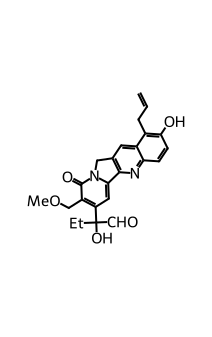 C=CCc1c(O)ccc2nc3c(cc12)Cn1c-3cc(C(O)(C=O)CC)c(COC)c1=O